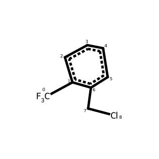 FC(F)(F)c1[c]cccc1CCl